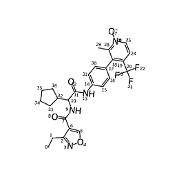 CCc1nocc1C(=O)NC(C(=O)Nc1ccc(-c2c(C(F)(F)F)cc[n+]([O-])c2C)cc1)C1CCCC1